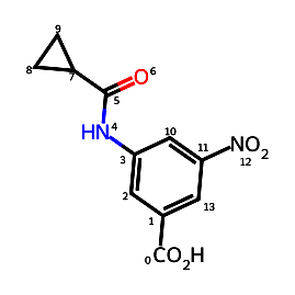 O=C(O)c1cc(NC(=O)C2CC2)cc([N+](=O)[O-])c1